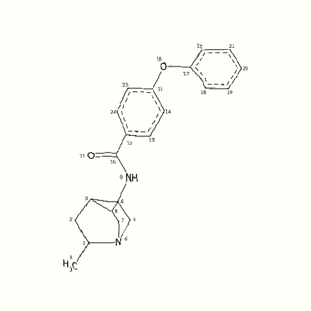 CC1CC2CCN1CC2NC(=O)c1ccc(Oc2ccccc2)cc1